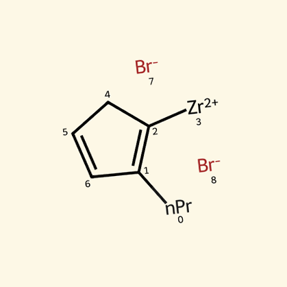 CCCC1=[C]([Zr+2])CC=C1.[Br-].[Br-]